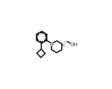 OC[C@@H]1CCCN(c2cc[c]cc2C2CCC2)C1